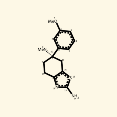 CN[C@@]1(c2cccc(OC)c2)CCc2nc(N)sc2C1